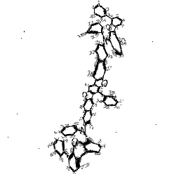 c1ccc(-c2cccc3c2oc2c(N(c4ccccc4)c4ccc5cc6c(cc5c4)oc4c(-c5ccccc5)c5c(cc46)oc4cc6cc(N(c7ccccc7)c7cccc8c7oc7c(-c9ccccc9)cccc78)ccc6cc45)cccc23)cc1